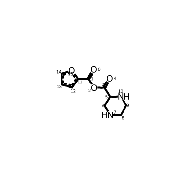 O=C(OC(=O)C1CNCCN1)c1ccco1